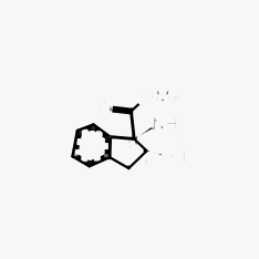 COC(=O)[C@@]1(N)c2ccccc2C[C@H]1O